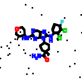 CC1(C(N)=O)CCC(n2c(Nc3ccc(F)c(Cl)c3Cl)nc3cnc(NC4CCOCC4)nc32)CC1